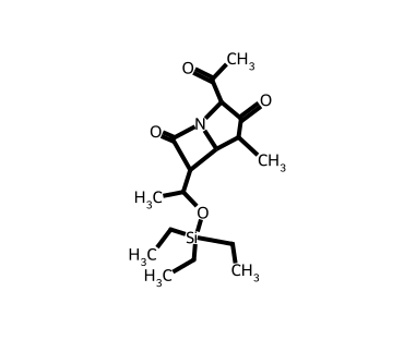 CC[Si](CC)(CC)OC(C)C1C(=O)N2C(C(C)=O)C(=O)C(C)C12